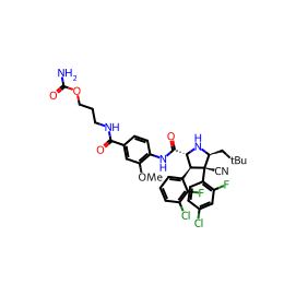 COc1cc(C(=O)NCCCOC(N)=O)ccc1NC(=O)[C@@H]1N[C@@H](CC(C)(C)C)[C@](C#N)(c2ccc(Cl)cc2F)[C@H]1c1cccc(Cl)c1F